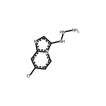 NNNc1cnc2cc(Cl)ccn12